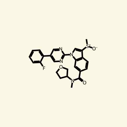 CN(C(=O)c1ccc2c([S+](C)[O-])cn(-c3ncc(-c4ccccc4F)cn3)c2c1)C1CCOC1